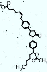 CCCCCC(OC(C)=O)c1ccc([C@@H]2CC(c3ccc(C/C=C\CCCC(=O)OC)cc3)CC2=O)cc1